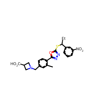 CCC(Sc1nnc(-c2ccc(CN3CC(C(=O)O)C3)cc2C)o1)c1cccc([N+](=O)[O-])c1